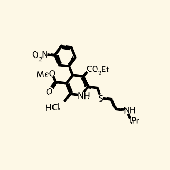 CCOC(=O)C1=C(CSCCNC(C)C)NC(C)=C(C(=O)OC)C1c1cccc([N+](=O)[O-])c1.Cl